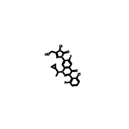 CCn1c(CO)nn(-c2cc3c(cc2F)c(=O)c(-c2c(F)cccc2Cl)nn3C(C)C2CC2)c1=O